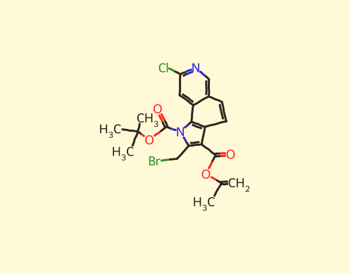 C=C(C)OC(=O)c1c(CBr)n(C(=O)OC(C)(C)C)c2c1ccc1cnc(Cl)cc12